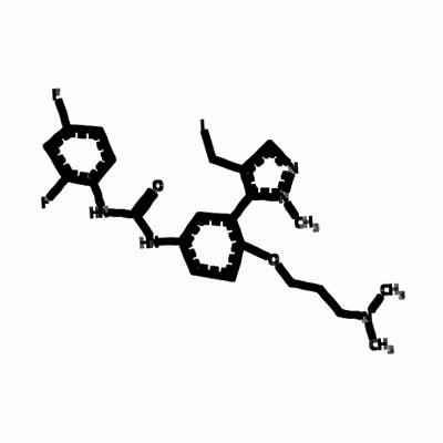 CN(C)CCCOc1ccc(NC(=O)Nc2ccc(F)cc2F)cc1-c1c(CI)cnn1C